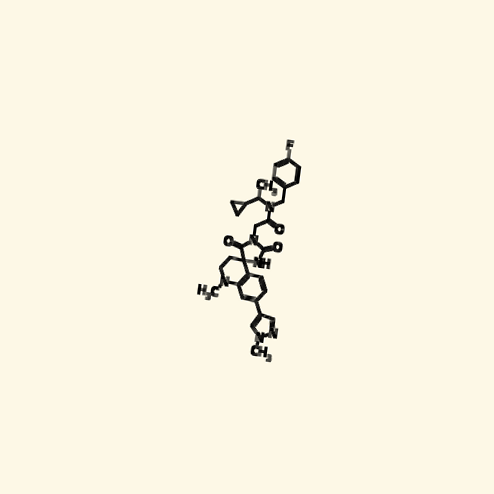 CC(C1CC1)N(Cc1ccc(F)cc1)C(=O)CN1C(=O)NC2(CCN(C)c3cc(-c4cnn(C)c4)ccc32)C1=O